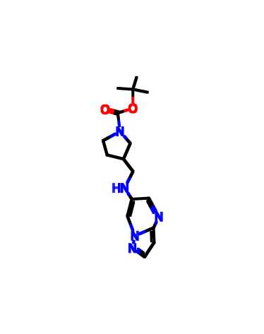 CC(C)(C)OC(=O)N1CCC(CNc2cnc3ccnn3c2)C1